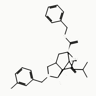 CC(C)C[C@@H]1[C@@H]2[C@@H]3C(=O)N[C@@]1(C(=O)NCc1ccccc1)C[C@@H]3CN2Cc1cccc(Cl)c1